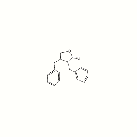 O=C1OCC(Cc2ccccc2)C1Cc1ccccc1